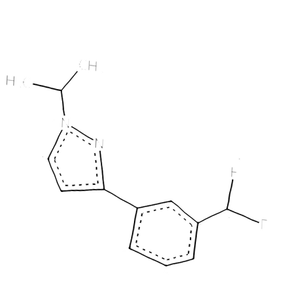 CC(C)n1ccc(-c2cccc(C(F)F)c2)n1